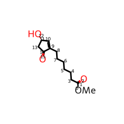 COC(=O)CCCCCCC1=C[C@@H](O)CC1=O